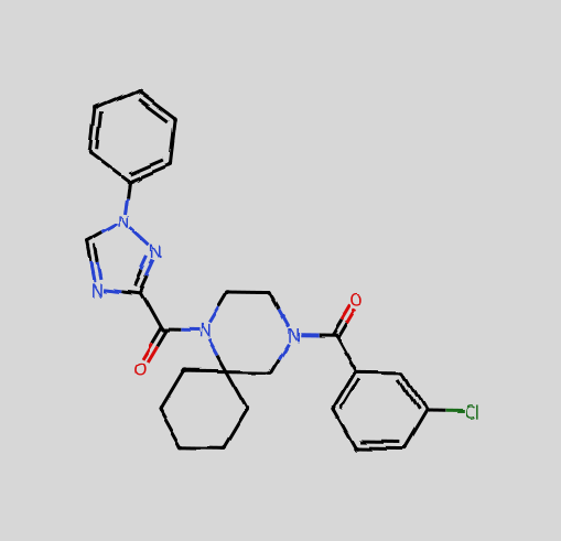 O=C(c1cccc(Cl)c1)N1CCN(C(=O)c2ncn(-c3ccccc3)n2)C2(CCCCC2)C1